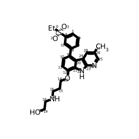 CCS(=O)(=O)c1cccc(-c2ccc(OCCCNCCO)c3[nH]c4ncc(C)cc4c23)c1